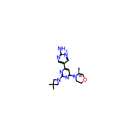 C[C@H]1COCCN1c1cc(-c2cnc(N)nc2)nc(N2CC(C)(C)C2)n1